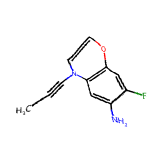 CC#CN1C=COc2cc(F)c(N)cc21